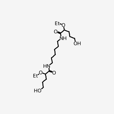 CCOC(CCCO)C(=O)NCCCCCCNC(=O)C(CCCO)OCC